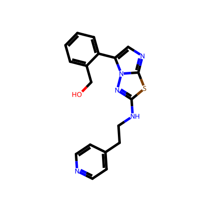 OCc1ccccc1-c1cnc2sc(NCCc3ccncc3)nn12